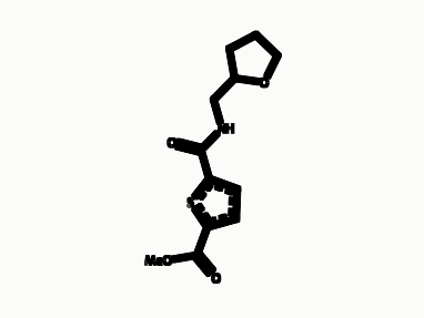 COC(=O)c1ccc(C(=O)NCC2CCCO2)s1